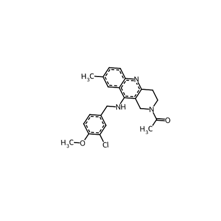 COc1ccc(CNc2c3c(nc4ccc(C)cc24)CCN(C(C)=O)C3)cc1Cl